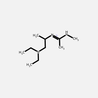 CCN(CC)CC(C)/N=C(\C)NC